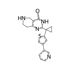 O=c1[nH]c(C2(c3cc(-c4cccnc4)cs3)CC2)nc2c1CNCC2